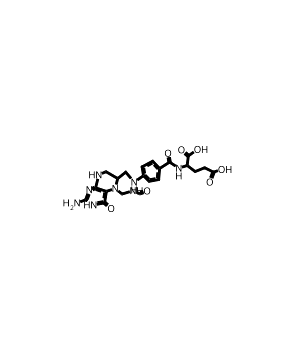 Nc1nc2c(c(=O)[nH]1)N(CNC=O)C(CNc1ccc(C(=O)NC(CCC(=O)O)C(=O)O)cc1)CN2